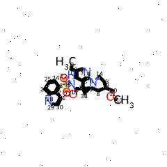 CCc1cnc(N2CCC(COC)CC2)c(C2(C(=O)NS(=O)(=O)c3cccc4ncccc34)CC2)c1